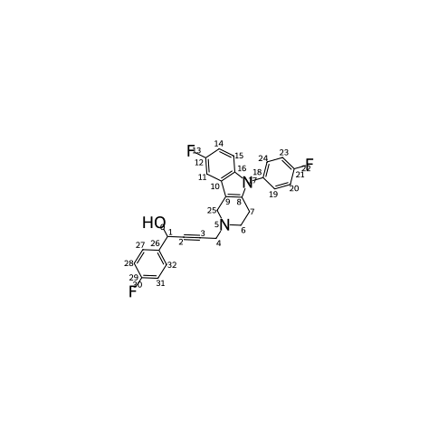 OC(C#CCN1CCc2c(c3cc(F)ccc3n2-c2ccc(F)cc2)C1)c1ccc(F)cc1